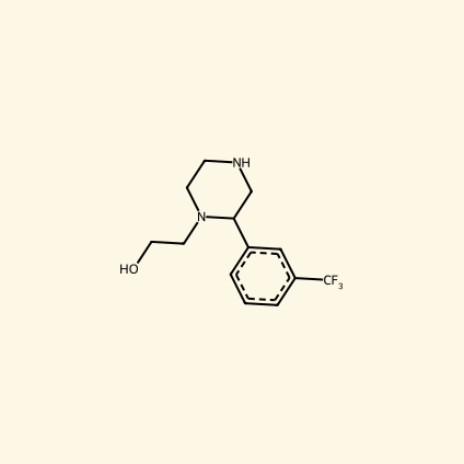 OCCN1CCNCC1c1cccc(C(F)(F)F)c1